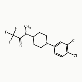 CN(C(=O)C(F)(F)F)C1CCN(c2ccc(Cl)c(Cl)c2)CC1